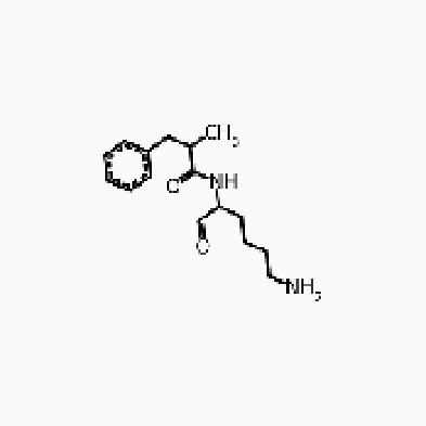 CC(Cc1ccccc1)C(=O)NC(C=O)CCCCN